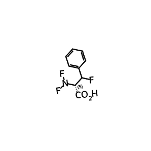 O=C(O)[C@@H](C(F)c1ccccc1)N(F)F